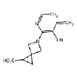 C=C/C(C#N)=C(\N=C/C)N1CC2(CC2C(=O)O)C1